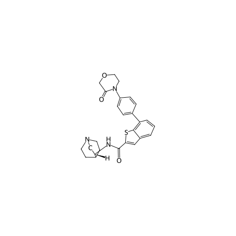 O=C(N[C@H]1CN2CCC1CC2)c1cc2cccc(-c3ccc(N4CCOCC4=O)cc3)c2s1